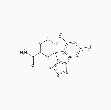 NC(=O)C1CCOC(c2nccs2)(c2ccc(Cl)cc2Cl)C1